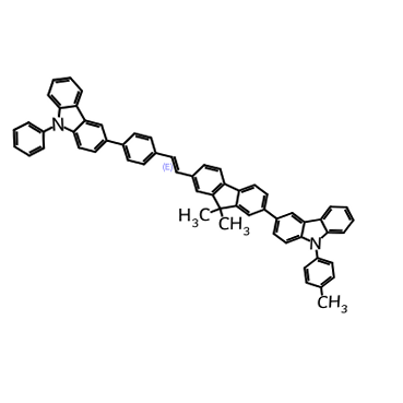 Cc1ccc(-n2c3ccccc3c3cc(-c4ccc5c(c4)C(C)(C)c4cc(/C=C/c6ccc(-c7ccc8c(c7)c7ccccc7n8-c7ccccc7)cc6)ccc4-5)ccc32)cc1